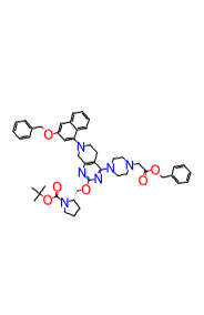 CC(C)(C)OC(=O)N1CCC[C@H]1COc1nc2c(c(N3CCN(CC(=O)OCc4ccccc4)CC3)n1)CCN(c1cc(OCc3ccccc3)cc3ccccc13)C2